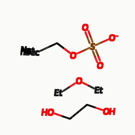 CCCCCCCCCCCOS(=O)(=O)[O-].CCOCC.OCCO.[Na+]